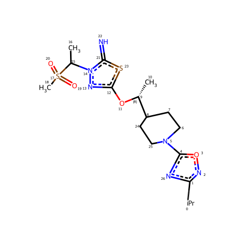 CC(C)c1noc(N2CCC([C@@H](C)Oc3nn(C(C)S(C)(=O)=O)c(=N)s3)CC2)n1